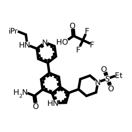 CCS(=O)(=O)N1CCC(c2c[nH]c3c(C(N)=O)cc(-c4ccnc(NCC(C)C)c4)cc23)CC1.O=C(O)C(F)(F)F